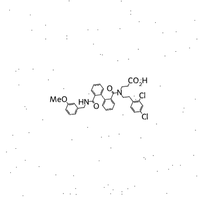 COc1cccc(CNC(=O)c2ccccc2-c2ccccc2C(=O)N(CCC(=O)O)CCc2ccc(Cl)cc2Cl)c1